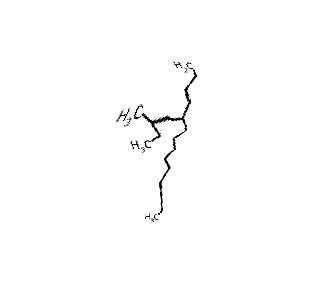 [CH2]CCCC(CCCCCCCC)CC(C)CC